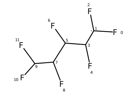 F[C](F)C(F)C(F)C(F)C(F)F